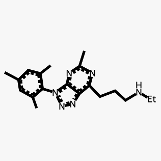 CCNCCCc1nc(C)nc2c1nnn2-c1c(C)cc(C)cc1C